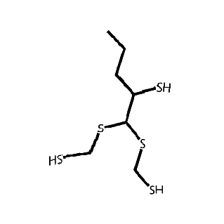 CCCC(S)C(SCS)SCS